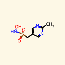 Cc1ncc(CS(=O)(=O)NO)cn1